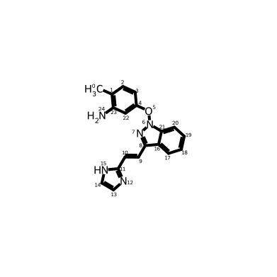 Cc1ccc(On2nc(C=Cc3ncc[nH]3)c3ccccc32)cc1N